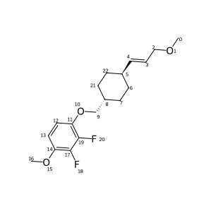 COCC=C[C@H]1CC[C@H](COc2ccc(OC)c(F)c2F)CC1